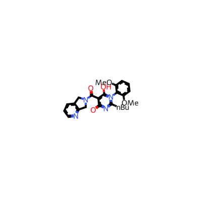 CCCCc1nc(=O)c(C(=O)N2Cc3cccnc3C2)c(O)n1-c1c(OC)cccc1OC